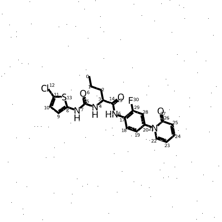 CCCC(NC(=O)Nc1ccc(Cl)s1)C(=O)Nc1ccc(-n2ccccc2=O)cc1F